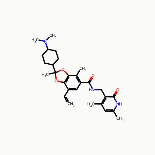 C=Cc1cc(C(=O)NCc2c(C)cc(C)[nH]c2=O)c(C)c2c1OC(C)(C1CCC(N(C)C)CC1)O2